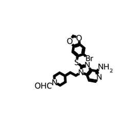 Nc1nccc2c1nc(Sc1cc3c(cc1Br)OCO3)n2CCC1CCN(C=O)CC1